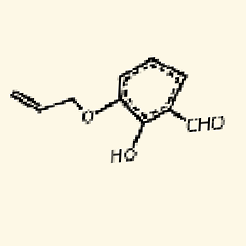 C=CCOc1cccc(C=O)c1O